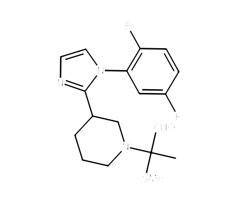 CSC(C)(C=O)N1CCCC(c2nccn2-c2cc(F)ccc2F)C1